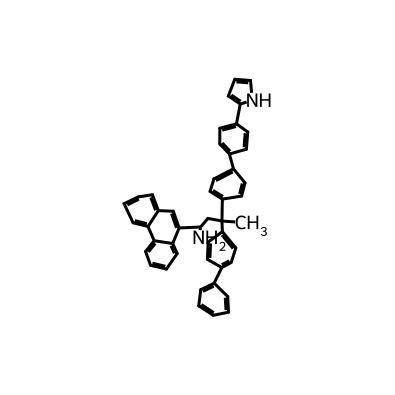 CC(CC(N)c1cc2ccccc2c2ccccc12)(c1ccc(-c2ccccc2)cc1)c1ccc(-c2ccc(-c3ccc[nH]3)cc2)cc1